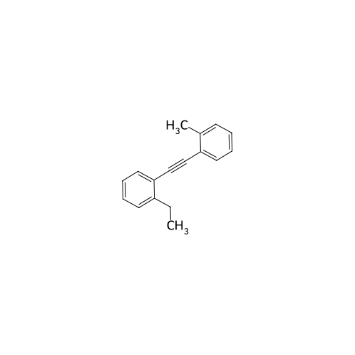 CCc1ccccc1C#Cc1ccccc1C